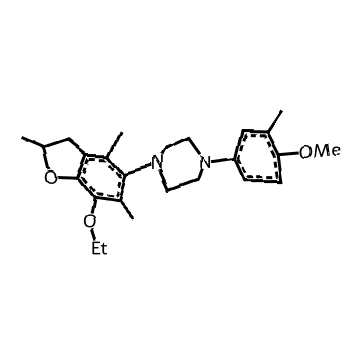 CCOc1c(C)c(N2CCN(c3ccc(OC)c(C)c3)CC2)c(C)c2c1OC(C)C2